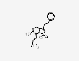 CCCc1c(O)ccc2c1S(=O)(=O)C=C2CCc1ccccc1